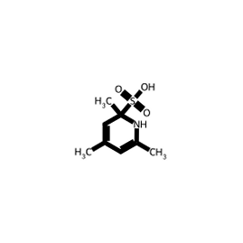 CC1=CC(C)(S(=O)(=O)O)NC(C)=C1